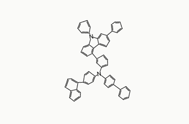 c1ccc(-c2ccc(N(c3ccc(-c4cccc5ccccc45)cc3)c3cccc(-c4cccc5c4c4ccc(-c6ccccc6)cc4n5-c4ccccc4)c3)cc2)cc1